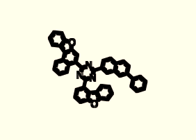 c1ccc(-c2ccc3ccc(-c4nc(-c5cc6oc7ccccc7c6c6ccccc56)nc(-c5cccc6oc7ccccc7c56)n4)cc3c2)cc1